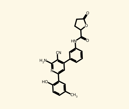 Cc1ccc(O)c(-c2cc(-c3cccc(NC(=O)C4CCC(=O)O4)c3)c(C#N)c(N)n2)c1